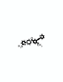 COc1ccc(C(=O)N2CCCN(c3cccc(C)n3)CC2)cc1C#Cc1ccccn1